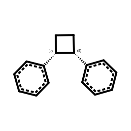 c1ccc([C@H]2CC[C@H]2c2ccccc2)cc1